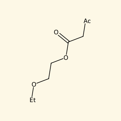 CCOCCOC(=O)CC(C)=O